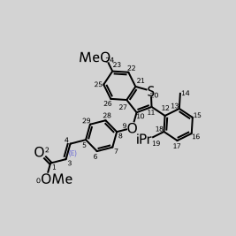 COC(=O)/C=C/c1ccc(Oc2c(-c3c(C)cccc3C(C)C)sc3cc(OC)ccc23)cc1